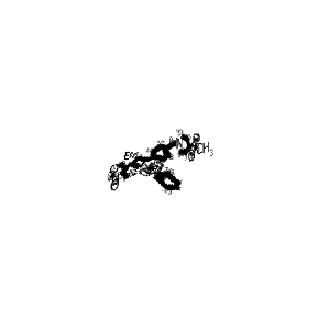 CS(=O)(=O)C1CCN(Cc2ccc(-c3c(Br)c4c(C=O)c([N+](=O)[O-])cnc4n3S(=O)(=O)c3ccccc3)cc2)CC1